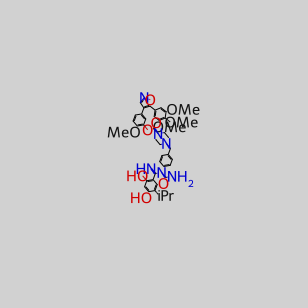 COc1ccc(-c2cnoc2-c2cc(OC)c(OC)c(OC)c2)cc1OC(=O)N1CCN(Cc2ccc(N(C(=N)c3cc(C(C)C)c(O)cc3O)C(N)=O)cc2)CC1